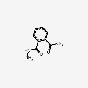 NNC(=O)c1ccccc1C(=O)C(F)(F)F